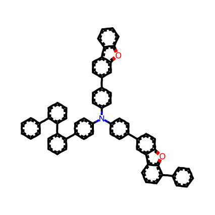 c1ccc(-c2ccccc2-c2ccccc2-c2ccc(N(c3ccc(-c4ccc5c(c4)oc4ccccc45)cc3)c3ccc(-c4ccc5oc6c(-c7ccccc7)cccc6c5c4)cc3)cc2)cc1